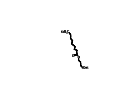 CCCCCCCCCCCCCOC(=O)CCCCCCCC(=O)OCC